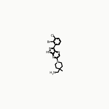 CC1(CN)CCN(c2cnc3c(-c4cccc(Cl)c4Br)n[nH]c3n2)CC1